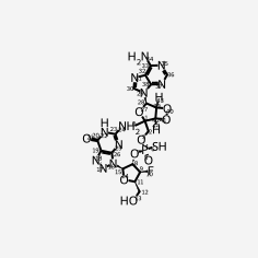 CC1(COP(=O)(S)O[C@@H]2[C@@H](F)[C@@H](CO)O[C@H]2n2nnc3c(=O)[nH]c(N)nc32)O[C@@H](n2cnc3c(N)ncnc32)[C@@H]2OO[C@@H]21